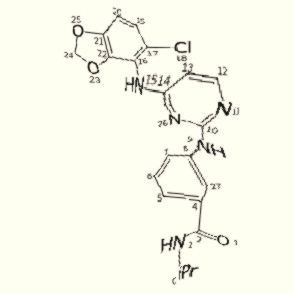 CC(C)NC(=O)c1cccc(Nc2nccc(Nc3c(Cl)ccc4c3OCO4)n2)c1